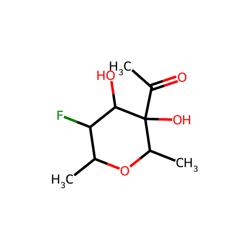 CC(=O)C1(O)C(C)OC(C)C(F)C1O